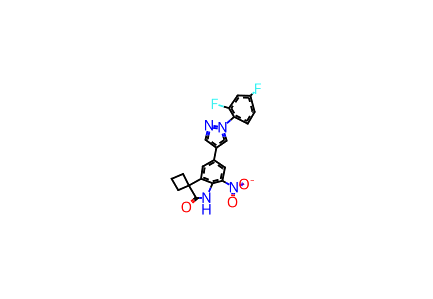 O=C1Nc2c([N+](=O)[O-])cc(-c3cnn(-c4ccc(F)cc4F)c3)cc2C12CCC2